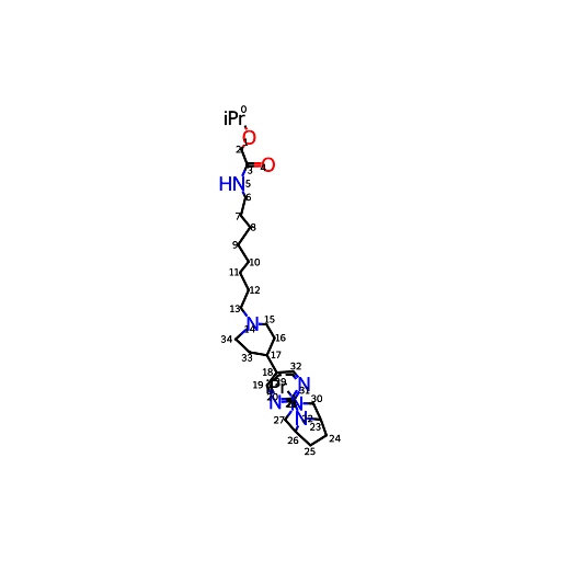 CC(C)OCC(=O)NCCCCCCCCN1CCC(c2cnc(N3C4CCC3CN(C(C)C)C4)nc2)CC1